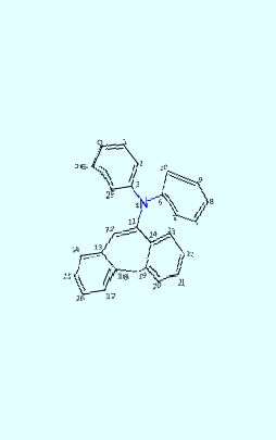 c1ccc(N(c2ccccc2)c2cc3ccccc3c3ccccc23)cc1